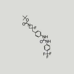 CC(C)(C)OC(=O)N1CC(F)(Cc2ccc(NC(=O)Nc3ccc(C(F)(F)F)cc3)cc2)C1